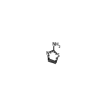 Nc1nc#cs1